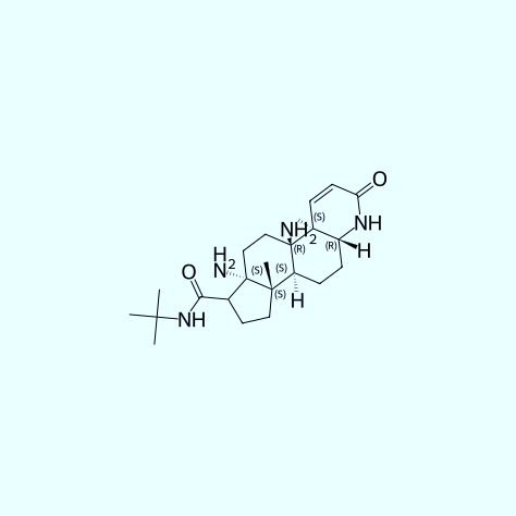 CC(C)(C)NC(=O)C1CC[C@@]2(C)[C@@H]3CC[C@H]4NC(=O)C=C[C@]4(C)[C@@]3(N)CC[C@]12N